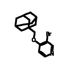 Brc1cnccc1OCC12CC3CC(CC(C3)C1)C2